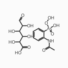 CC(=O)Nc1ccccc1[As](=O)(O)OO.O=CC(O)C(O)C(O)C(O)C(=O)O